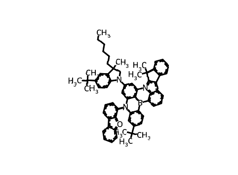 CCCCCCC1(C)CN(c2cc3c4c(c2)-n2c5c(c6cccc(c62)B4c2ccc(C(C)(C)C)cc2N3c2cccc3c2oc2ccccc23)-c2ccccc2C5(C)C)c2ccc(C(C)(C)C)cc21